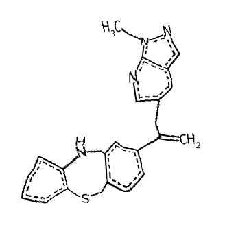 C=C(c1ccc2c(c1)Nc1ccccc1S2)c1cnc2c(cnn2C)c1